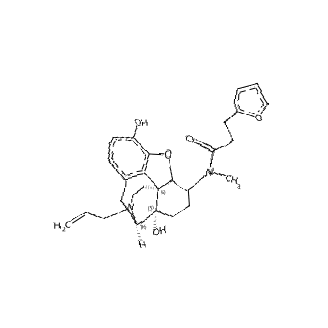 C=CCN1CC[C@]23c4c5ccc(O)c4OC2C(N(C)C(=O)CCc2ccco2)CC[C@@]3(O)[C@H]1C5